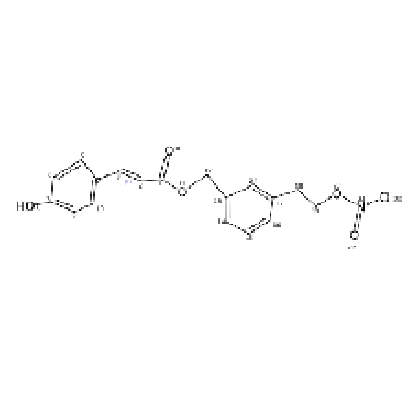 O=C(/C=C/c1ccc(O)cc1)OCc1cccc(CCO[N+](=O)[O-])c1